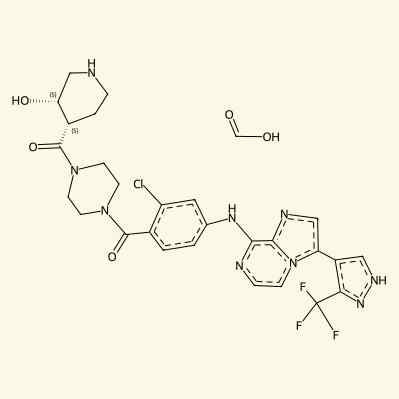 O=C(c1ccc(Nc2nccn3c(-c4c[nH]nc4C(F)(F)F)cnc23)cc1Cl)N1CCN(C(=O)[C@H]2CCNC[C@H]2O)CC1.O=CO